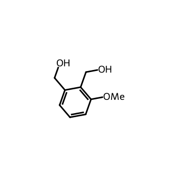 COc1cccc(CO)c1CO